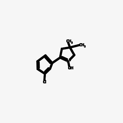 CC1(C)CC(c2cccc(Cl)c2)=[N+](O)C1